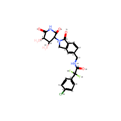 BC1C(=O)NC(=O)C(N2Cc3cc(CNC(=O)C(F)(F)c4ccc(Cl)cc4)ccc3C2=O)C1B